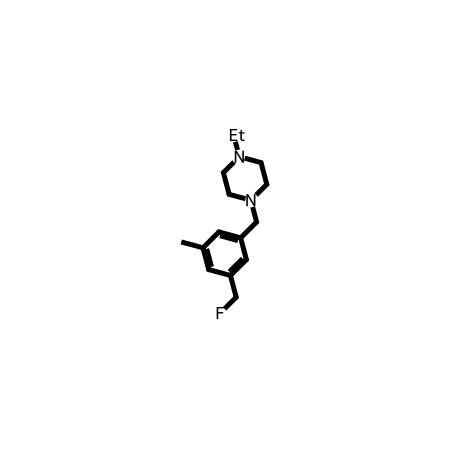 CCN1CCN(Cc2cc(C)cc(CF)c2)CC1